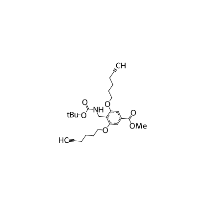 C#CCCCCOc1cc(C(=O)OC)cc(OCCCCC#C)c1CNC(=O)OC(C)(C)C